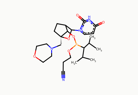 CC(C)C(C(C)C)P(OCCC#N)OC1C2CC[C@]1(CN1CCOCC1)OC2n1ccc(=O)[nH]c1=O